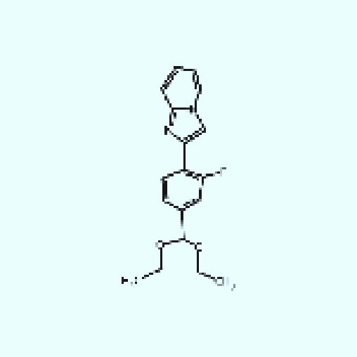 CCOC(OCC)c1ccc(-c2cn3ccccc3n2)c(F)c1